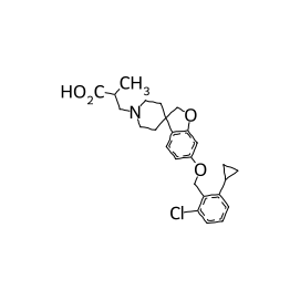 CC(CN1CCC2(CC1)COc1cc(OCc3c(Cl)cccc3C3CC3)ccc12)C(=O)O